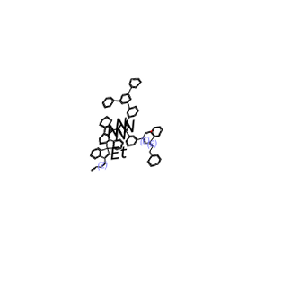 C=C/C=C\C1=C(CC)C2(c3ccccc31)c1ccccc1-c1c2ccc2c3ccccc3n(-c3nc(-c4cccc(/C(C=C)=C/C(=C\Cc5ccccc5)c5ccccc5)c4)nc(-c4cccc(-c5cc(-c6ccccc6)cc(-c6ccccc6)c5)c4)n3)c12